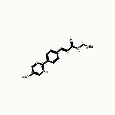 CCCCCCCCCCc1cnc(-c2ccc(C=CC(=O)OC[C@H](C)CC)cc2)nc1